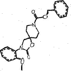 COc1ccccc1N1CC2(CCN(C(=O)OCc3ccccc3)CC2)OC1=O